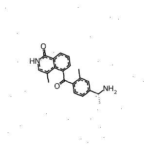 Cc1cc([C@@H](C)N)ccc1C(=O)c1cccc2c(=O)[nH]cc(C)c12